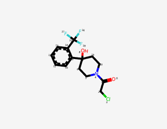 O=C(CCl)N1CCC(O)(c2ccccc2C(F)(F)F)CC1